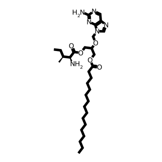 CCCCCCCCCCCCCCCC(=O)OCC(COC(=O)[C@@H](N)[C@@H](C)CC)OCn1cnc2cnc(N)nc21